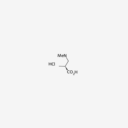 CNC[C@H](C)C(=O)O.Cl